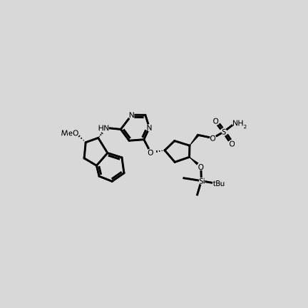 CO[C@H]1Cc2ccccc2[C@H]1Nc1cc(O[C@@H]2C[C@@H](COS(N)(=O)=O)[C@@H](O[Si](C)(C)C(C)(C)C)C2)ncn1